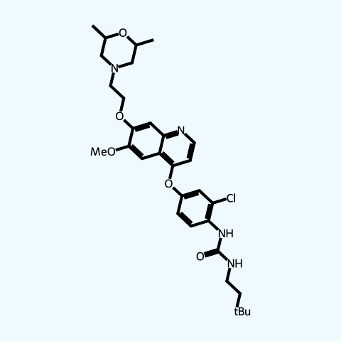 COc1cc2c(Oc3ccc(NC(=O)NCCC(C)(C)C)c(Cl)c3)ccnc2cc1OCCN1CC(C)OC(C)C1